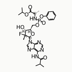 CC(C)OC(=O)[C@H](C)NP(=O)(OC[C@H]1O[C@@H](n2cnc3c(NC(=O)C(C)C)ncnc32)[C@](C)(F)[C@@H]1O)Oc1ccccc1